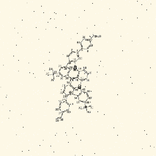 C=Cc1ccc(-c2ccc3c(c2)B2c4cccc5c4N(c4cc(C(C)(C)C)cc-3c42)c2ccc(-c3ccc(C=C)cc3)c3c2B5c2ccc(C(C)(C)C)cc2-3)cc1